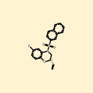 C=C[C@H]1CN(S(=O)(=O)c2ccc3ccccc3c2)c2cc(F)ccc2O1